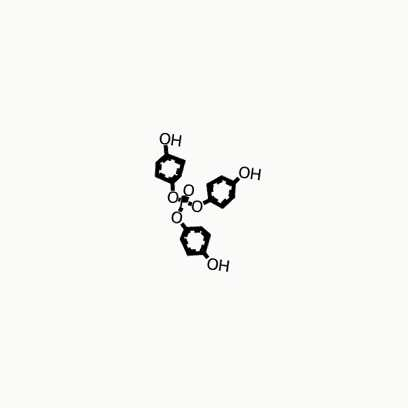 O=P(Oc1ccc(O)cc1)(Oc1ccc(O)cc1)Oc1ccc(O)cc1